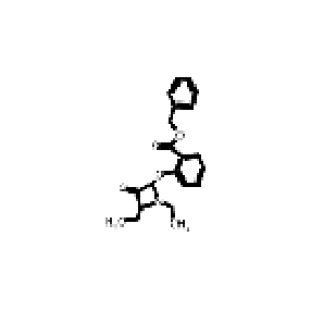 CCC1C(=O)C(Oc2ccccc2C(=O)OCc2ccccc2)N1CC